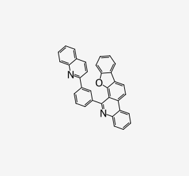 c1cc(-c2ccc3ccccc3n2)cc(-c2nc3ccccc3c3ccc4c5ccccc5oc4c23)c1